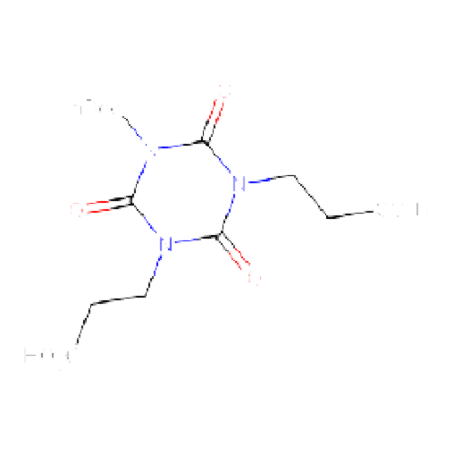 CCCCCCCCCCn1c(=O)n(CCC(=O)O)c(=O)n(CCC(=O)O)c1=O